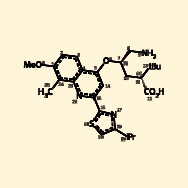 COc1ccc2c(O[C@@H](CN)C[C@@H](C(=O)O)C(C)(C)C)cc(-c3nc(C(C)C)cs3)nc2c1C